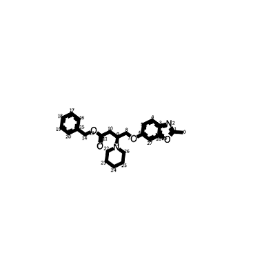 Cc1nc2ccc(OCC(CC(=O)OCc3ccccc3)N3CCCCC3)cc2o1